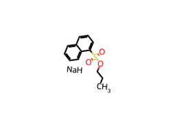 CCCOS(=O)(=O)c1cccc2ccccc12.[NaH]